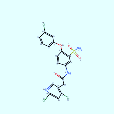 NS(=O)(=O)c1cc(NC(=O)Cc2cnc(Cl)cc2Cl)ccc1Oc1cccc(Cl)c1